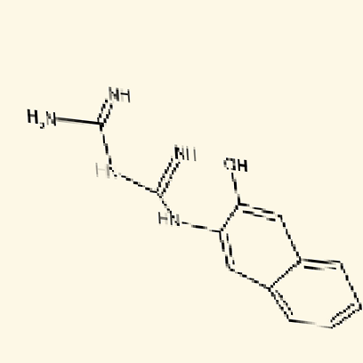 N=C(N)NC(=N)Nc1cc2ccccc2cc1O